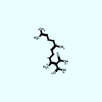 CC(C)=CCCC(C)=CCCC(C)=C(C(=O)O)C(=O)O